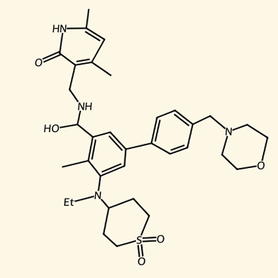 CCN(c1cc(-c2ccc(CN3CCOCC3)cc2)cc(C(O)NCc2c(C)cc(C)[nH]c2=O)c1C)C1CCS(=O)(=O)CC1